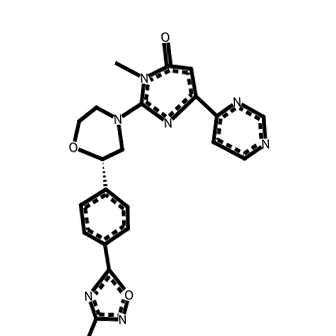 Cc1noc(-c2ccc([C@H]3CN(c4nc(-c5ccncn5)cc(=O)n4C)CCO3)cc2)n1